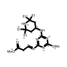 CCC1(CC)CC(Nc2nc(N=CCC(=O)OC)nc(OC)n2)CC(CC)(CC)N1